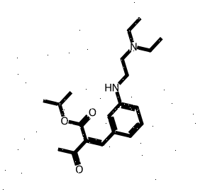 CCN(CC)CCNc1cccc(C=C(C(C)=O)C(=O)OC(C)C)c1